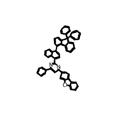 c1ccc(-c2cc(-c3ccc4c(c3)oc3ccccc34)nc(-c3ccc(-c4cccc5c4-c4ccccc4C5(c4ccccc4)c4ccccc4)c4ccccc34)n2)cc1